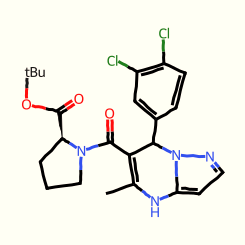 CC1=C(C(=O)N2CCC[C@H]2C(=O)OC(C)(C)C)C(c2ccc(Cl)c(Cl)c2)n2nccc2N1